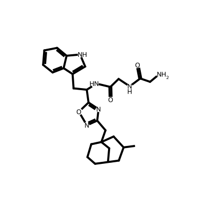 CC1CC2CCCC(Cc3noc(C(Cc4c[nH]c5ccccc45)NC(=O)CNC(=O)CN)n3)(C1)C2